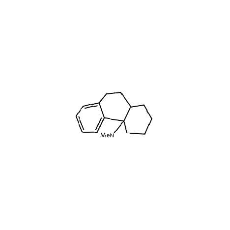 CNC12CCCCC1CCc1ccccc12